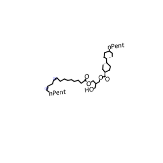 CCCCC/C=C\C/C=C\CCCCCCCC(=O)OCC(CO)COC(=O)[C@H]1CC[C@H]([C@H]2CC[C@H](CCCCC)CC2)CC1